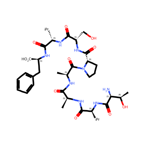 CC(C)[C@H](NC(=O)[C@H](CO)NC(=O)[C@@H]1CCCN1C(=O)[C@H](C)NC(=O)[C@H](C)NC(=O)[C@@H](NC(=O)[C@@H](N)[C@@H](C)O)C(C)C)C(=O)N[C@@H](Cc1ccccc1)C(=O)O